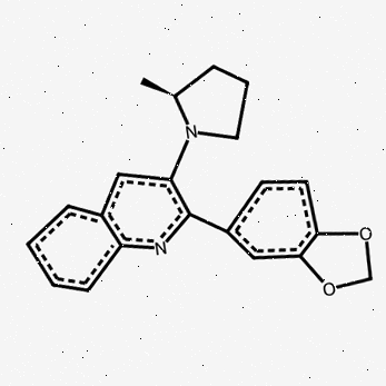 C[C@H]1CCCN1c1cc2ccccc2nc1-c1ccc2c(c1)OCO2